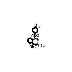 CCCCC1(C=O)CCN(S(=O)(=O)c2ccc(C)cc2)c2ccccc2C1=O